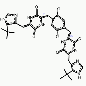 CC(C)(C)c1[nH]cnc1C=c1[nH]c(=O)/c(=C/c2cc(Cl)c(/C=c3\[nH]c(=O)/c(=C/c4nc[nH]c4C(C)(C)C)[nH]c3=O)cc2Cl)[nH]c1=O